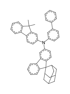 CC1(C)c2ccccc2-c2ccc(N(c3cccc(-c4ccccc4)c3)c3ccc4c(c3)-c3ccccc3C43C4CC5CC(C4)CC3C5)cc21